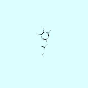 CCOC(=O)Cc1cc(I)c(N)c(I)c1